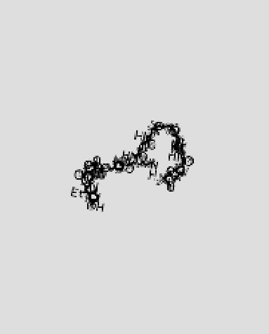 CCc1c2c(nc3ccc(O)cc13)-c1cc3c(c(=O)n1C2)COC(=O)[C@@]3(CC)OC(=O)OCc1ccc(NC(=O)[C@H](CCCCN)NC(=O)COCC(=O)NCCC(C)(C)OCCC(C)(C)OCCn2cc(CNC(=O)C3CCC(CN4C(=O)C=CC4=O)CC3)nn2)cc1